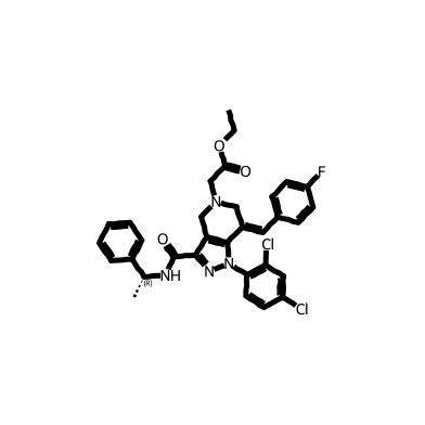 CCOC(=O)CN1CC(=Cc2ccc(F)cc2)c2c(c(C(=O)N[C@H](C)c3ccccc3)nn2-c2ccc(Cl)cc2Cl)C1